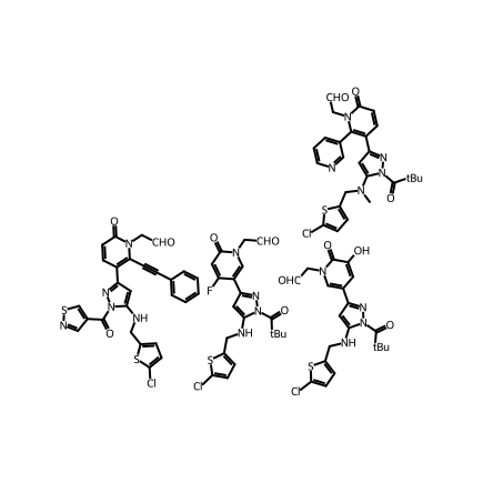 CC(C)(C)C(=O)n1nc(-c2cc(O)c(=O)n(CC=O)c2)cc1NCc1ccc(Cl)s1.CC(C)(C)C(=O)n1nc(-c2cn(CC=O)c(=O)cc2F)cc1NCc1ccc(Cl)s1.CN(Cc1ccc(Cl)s1)c1cc(-c2ccc(=O)n(CC=O)c2-c2cccnc2)nn1C(=O)C(C)(C)C.O=CCn1c(C#Cc2ccccc2)c(-c2cc(NCc3ccc(Cl)s3)n(C(=O)c3cnsc3)n2)ccc1=O